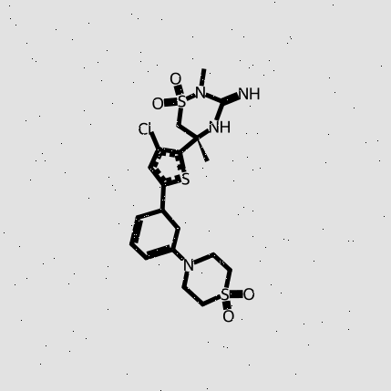 CN1C(=N)N[C@](C)(c2sc(C3C=CC=C(N4CCS(=O)(=O)CC4)C3)cc2Cl)CS1(=O)=O